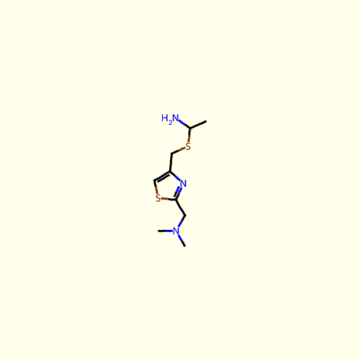 CC(N)SCc1csc(CN(C)C)n1